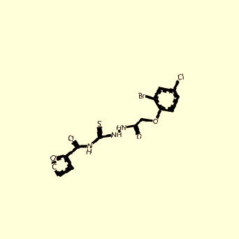 O=C(COc1ccc(Cl)cc1Br)NNC(=S)NC(=O)c1ccco1